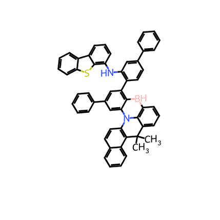 CC1(C)c2cccc3c2N(c2cc(-c4ccccc4)cc(-c4ccc(-c5ccccc5)cc4Nc4cccc5c4sc4ccccc45)c2B3)c2ccc3ccccc3c21